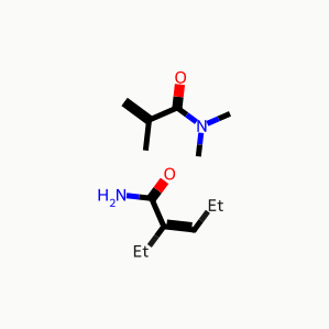 C=C(C)C(=O)N(C)C.CCC=C(CC)C(N)=O